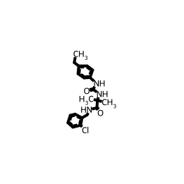 CCc1ccc(NC(=O)NC(C)(C)C(=O)NCc2ccccc2Cl)cc1